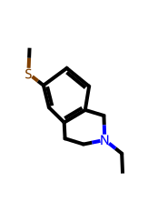 CCN1CCc2cc(SC)ccc2C1